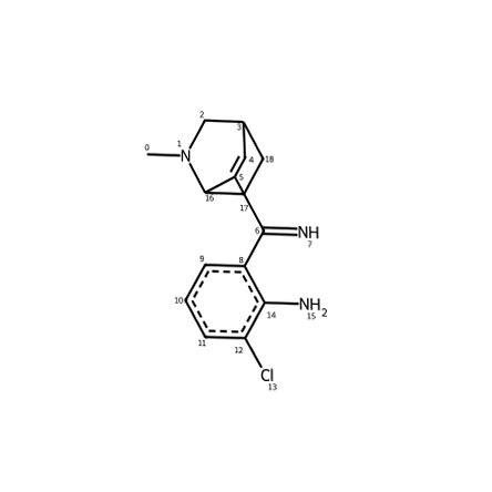 CN1CC2C=C(C(=N)c3cccc(Cl)c3N)C1CC2